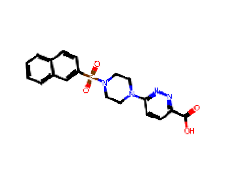 O=C(O)c1ccc(N2CCN(S(=O)(=O)c3ccc4ccccc4c3)CC2)nn1